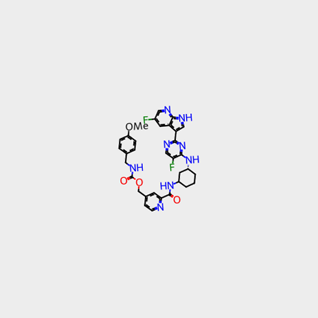 COc1ccc(CNC(=O)OCc2ccnc(C(=O)NC3CCC[C@@H](Nc4nc(-c5c[nH]c6ncc(F)cc56)ncc4F)C3)c2)cc1